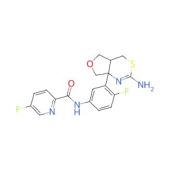 NC1=NC2(c3cc(NC(=O)c4ccc(F)cn4)ccc3F)COCC2CS1